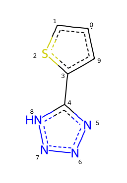 [c]1csc(-c2nnn[nH]2)c1